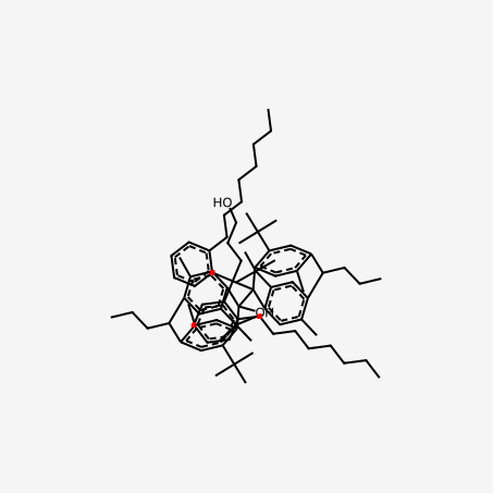 CCCCCCCCc1ccccc1C(CCCO)(c1ccccc1CCCCCCCC)C1(C2(O)c3cc(C)c(cc3C(C)(C)C)C(CCC)c3cc(C(C)(C)C)c2cc3C)c2cc(C)c(cc2C(C)(C)C)C(CCC)c2cc(C(C)(C)C)c1cc2C